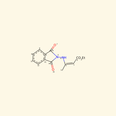 CCOC(=O)/C=C(/C)NN1C(=O)c2ccccc2C1=O